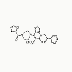 CCOC(=O)c1c(N2CCN(C(=O)c3ccco3)CC2)c2sccc2n(CC(=O)c2ccccc2)c1=O